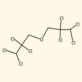 ClC(Cl)C(Cl)(Cl)COCC(Cl)(Cl)C(Cl)Cl